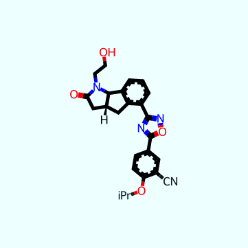 CC(C)Oc1ccc(-c2nc(-c3cccc4c3C[C@@H]3CC(=O)N(CCO)C43)no2)cc1C#N